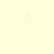 C=C/C=C(Br)\C=C/CCc1ccc(N(N)/C(C)=N\C(C=C)CN)cc1